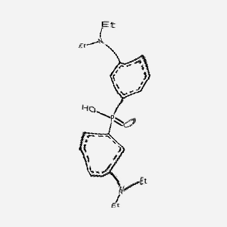 CCN(CC)c1cccc(P(=O)(O)c2cccc(N(CC)CC)c2)c1